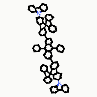 C1=CC(n2c3ccccc3c3ccccc32)CC2=C1c1ccc(-c3ccc4c(-c5ccccc5)c5cc(-c6ccc7c(c6)C6(c8ccccc8-c8ccccc86)c6cc(-n8c9ccccc9c9ccccc98)ccc6-7)ccc5c(-c5ccccc5)c4c3)cc1C21c2ccccc2-c2ccccc21